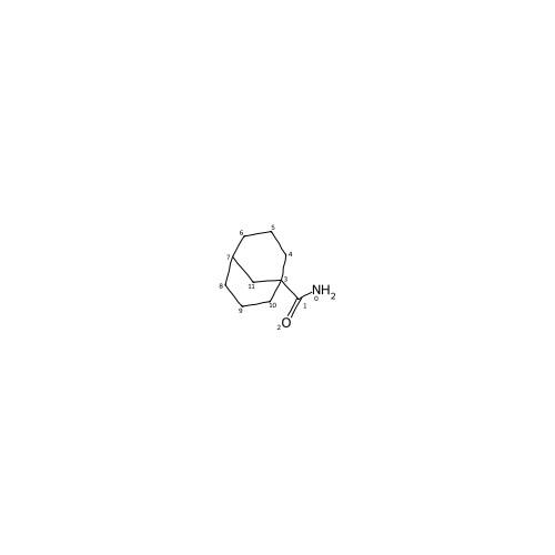 NC(=O)C12CCCC(CCC1)C2